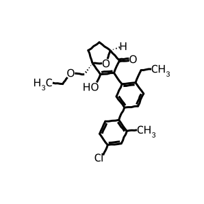 CCOC[C@]12CC[C@H](O1)C(=O)C(c1cc(-c3ccc(Cl)cc3C)ccc1CC)=C2O